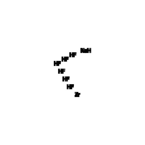 F.F.F.F.F.F.[NaH].[Zr]